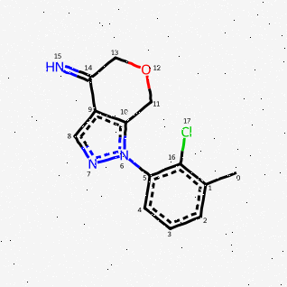 Cc1cccc(-n2ncc3c2COCC3=N)c1Cl